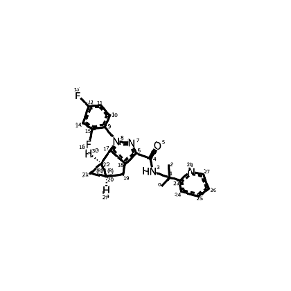 CC(C)(NC(=O)c1nn(-c2ccc(F)cc2F)c2c1C[C@H]1C[C@@H]21)c1ccccn1